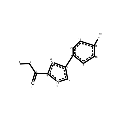 CCC(=O)c1ncc(-c2ccc(F)cc2)s1